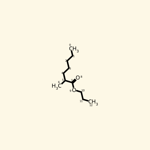 CCCCCC(C)C(=O)OCCC